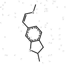 CS/C=C\c1ccc2c(c1)SC(C)C2